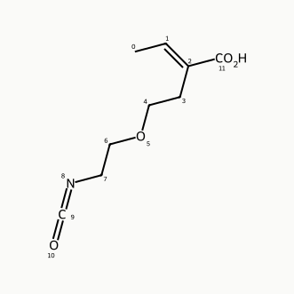 CC=C(CCOCCN=C=O)C(=O)O